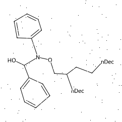 CCCCCCCCCCCCC(CCCCCCCCCC)CON(c1ccccc1)C(O)c1ccccc1